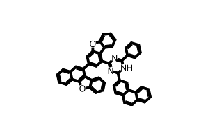 c1ccc(C2=NC(c3cc(-c4cc5ccccc5c5oc6ccccc6c45)cc4oc5ccccc5c34)=NC(c3ccc4ccc5ccccc5c4c3)N2)cc1